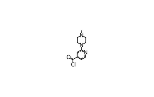 CN1CCN(c2cc(C(=O)Cl)ccn2)CC1